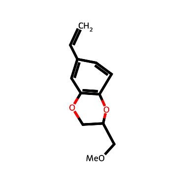 C=Cc1ccc2c(c1)OCC(COC)O2